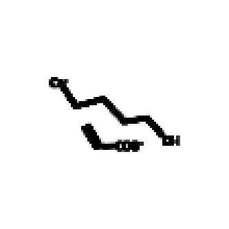 C=CC(=O)[O-].OCCC[CH2][Ca+]